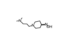 CN(C)CCCN1CCC(=NO)CC1